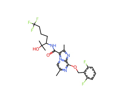 Cc1cn2c(C(=O)NC(CCCC(F)(F)F)C(C)(C)O)c(C)nc2c(OCc2c(F)cccc2F)n1